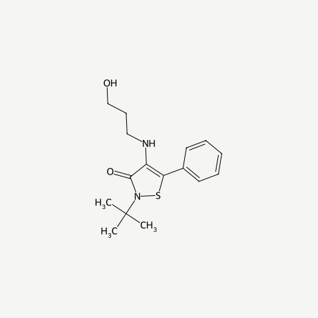 CC(C)(C)n1sc(-c2ccccc2)c(NCCCO)c1=O